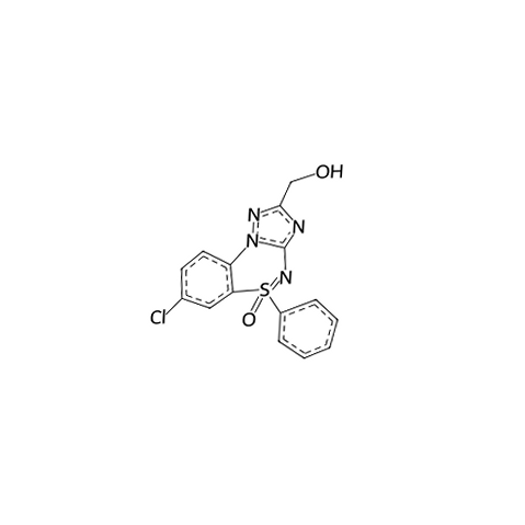 O=S1(c2ccccc2)=Nc2nc(CO)nn2-c2ccc(Cl)cc21